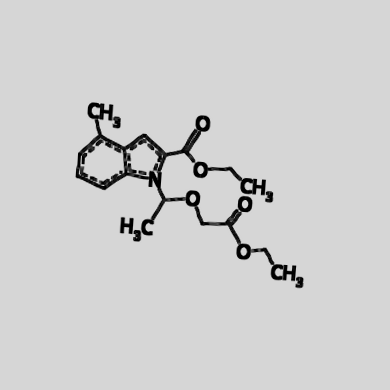 CCOC(=O)COC(C)n1c(C(=O)OCC)cc2c(C)cccc21